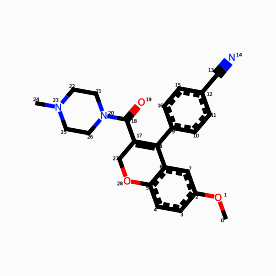 COc1ccc2c(c1)C(c1ccc(C#N)cc1)=C(C(=O)N1CCN(C)CC1)CO2